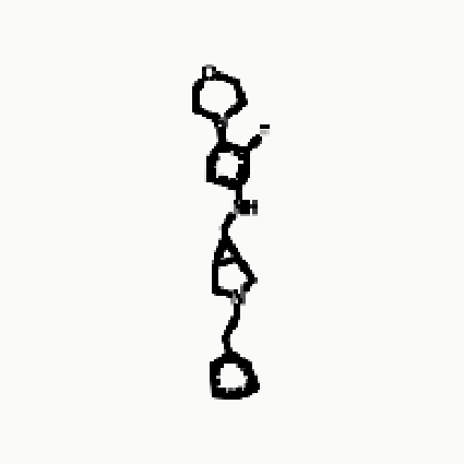 Fc1cc(NCC2C3CN(CCc4ccccc4)CC23)ccc1N1CCOCC1